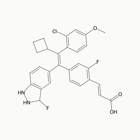 COc1ccc(/C(=C(\c2ccc(/C=C/C(=O)O)c(F)c2)c2ccc3c(c2)C(F)NN3)C2CCC2)c(Cl)c1